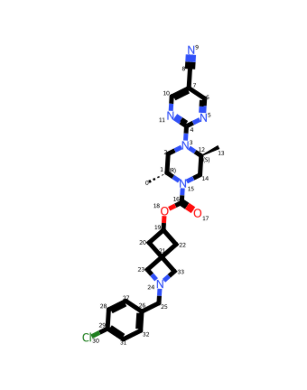 C[C@@H]1CN(c2ncc(C#N)cn2)[C@@H](C)CN1C(=O)OC1CC2(C1)CN(Cc1ccc(Cl)cc1)C2